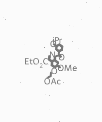 CCOC(=O)c1cnc(C(=O)c2cccc(OC(C)C)c2)c2cc(OC)c(OCCCOC(C)=O)cc12